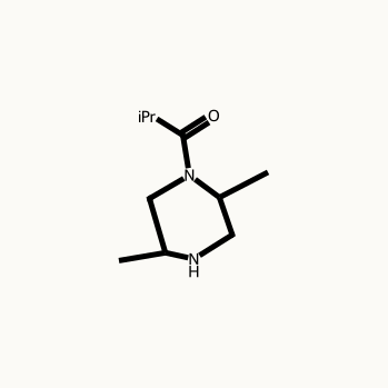 CC1CN(C(=O)C(C)C)C(C)CN1